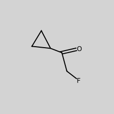 O=C(CF)C1CC1